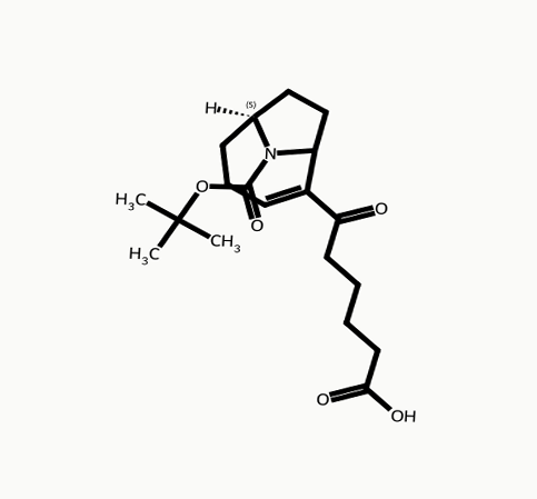 CC(C)(C)OC(=O)N1C2CC[C@@H]1CCC=C2C(=O)CCCCC(=O)O